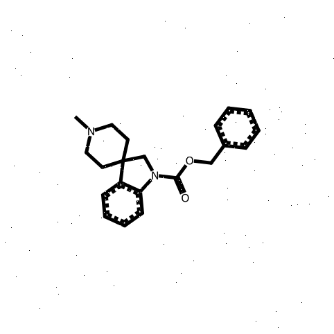 CN1CCC2(CC1)CN(C(=O)OCc1ccccc1)c1ccccc12